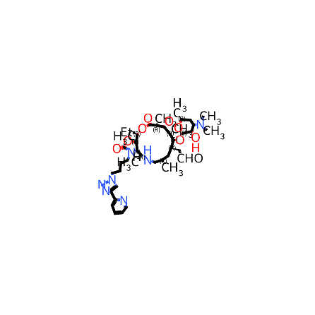 CC[C@H]1OC(=O)[C@H](C)C(=O)[C@H](C)[C@@H](O[C@@H]2O[C@H](C)CC(N(C)C)C2O)[C@@H](CC=O)C[C@@H](C)CN[C@H](C)[C@H]2N(CCCCn3cc(-c4ccccn4)nn3)C(=O)O[C@]12C